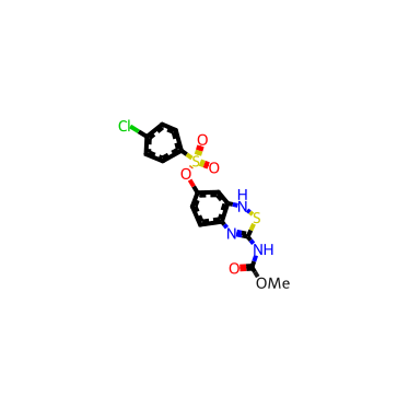 COC(=O)NC1=Nc2ccc(OS(=O)(=O)c3ccc(Cl)cc3)cc2NS1